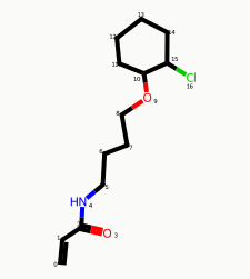 C=CC(=O)NCCCCOC1CCCCC1Cl